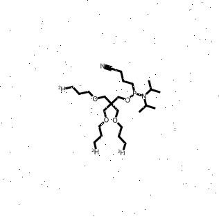 [2H]CCCOCC(COCCC[2H])(COCCC[2H])COP(CCCC#N)N(C(C)C)C(C)C